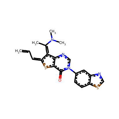 C=C/C=c1/sc2c(=O)n(-c3ccc4scnc4c3)cnc2/c1=C(/C)N(C)C